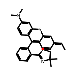 CC=c1ccc2c(c1)Sc1cc(N(C)C)ccc1C=2c1ccccc1C1=NC(C)(C)CO1